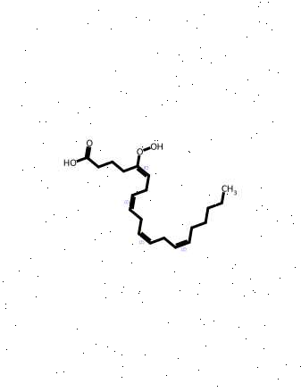 CCCCC/C=C\C/C=C\C/C=C\C/C=C(\CCCC(=O)O)OO